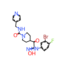 O=C(/C(=N/O)Nc1ccc(F)c(Br)c1)C1CCN(C(=O)NCc2ccncc2)CC1